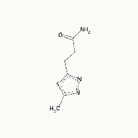 Cc1nnc(CCC(N)=O)s1